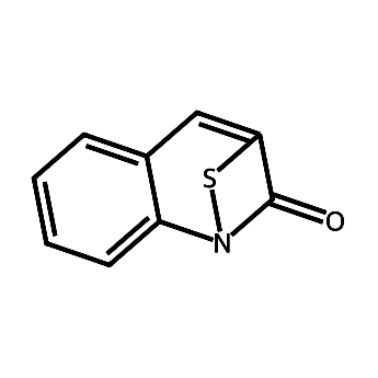 O=c1c2cc3ccccc3n1s2